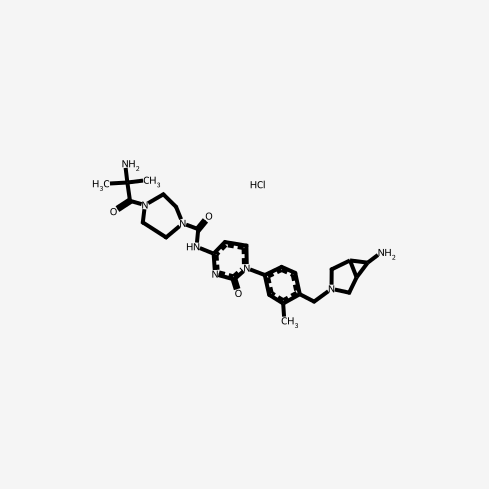 Cc1cc(-n2ccc(NC(=O)N3CCN(C(=O)C(C)(C)N)CC3)nc2=O)ccc1CN1CC2C(N)C2C1.Cl